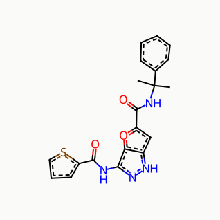 CC(C)(NC(=O)c1cc2[nH]nc(NC(=O)c3cccs3)c2o1)c1ccccc1